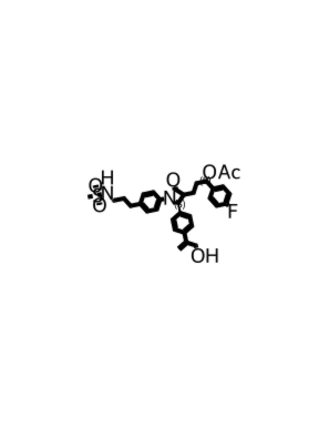 C=C(CO)c1ccc([C@@H]2C(CC[C@H](OC(C)=O)c3ccc(F)cc3)C(=O)N2c2ccc(CCCNS(C)(=O)=O)cc2)cc1